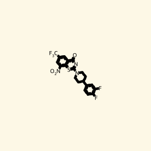 O=c1nc(N2CCC(c3ccc(F)c(F)c3)CC2)sc2c([N+](=O)[O-])cc(C(F)(F)F)cc12